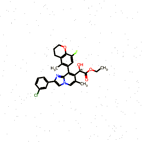 CCOC(=O)[C@H](O)c1c(C)cn2cc(-c3cccc(Cl)c3)nc2c1-c1cc(F)c2c(c1C)CCCO2